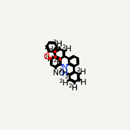 [2H]c1c([2H])c([2H])c(-c2cccc(-c3c([2H])c([2H])c([2H])c([2H])c3[2H])c2Nc2cc3c(cc2[N+](=O)[O-])oc2ccccc23)c([2H])c1[2H]